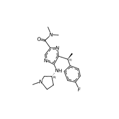 C[C@@H](c1ccc(F)cc1)c1nc(C(=O)N(C)C)cnc1N[C@@H]1CCN(C)C1